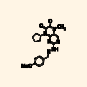 COc1ccc(/C=N/Nc2ncc3c(n2)n(C2CCCC2)c(=O)c(=O)n3C)cc1